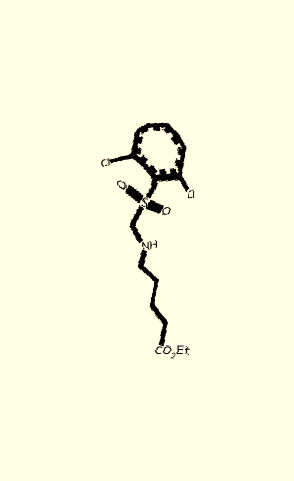 CCOC(=O)CCCCNCS(=O)(=O)c1c(Cl)cccc1Cl